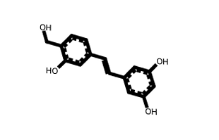 OCc1ccc(/C=C/c2cc(O)cc(O)c2)cc1O